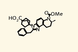 COC(=O)N1c2ccc3c(nc(Cc4ccccc4)n3C34CCC(C(=O)O)(CC3)C4)c2CC[C@@H]1C